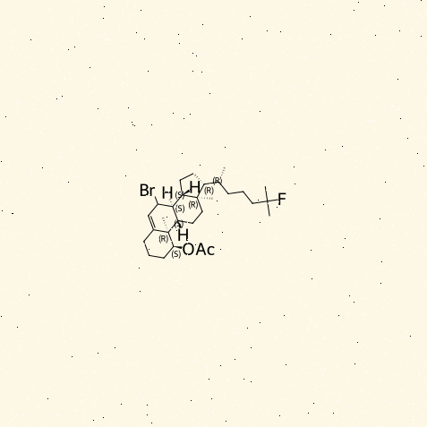 CC(=O)O[C@H]1CCCC2=CC(Br)[C@H]3[C@@H]4CC[C@H]([C@H](C)CCCC(C)(C)F)[C@@]4(C)CC[C@@H]3[C@]21C